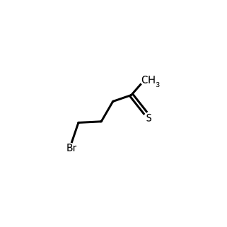 CC(=S)CCCBr